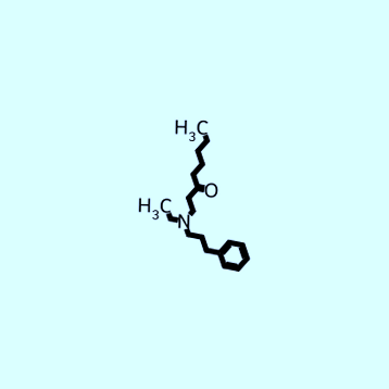 CCCCCC(=O)CCN(CC)CCCc1ccccc1